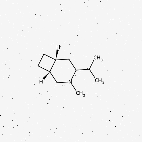 CC(C)C1C[C@H]2CC[C@H]2CN1C